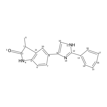 CC1C(=O)Nc2ccc(-c3c[nH]c(-c4ccccc4)n3)cc21